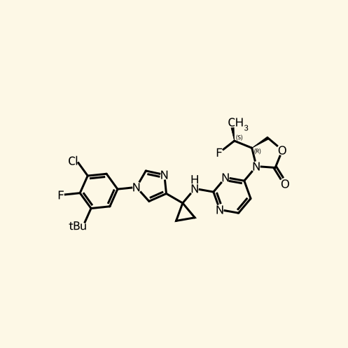 C[C@H](F)[C@H]1COC(=O)N1c1ccnc(NC2(c3cn(-c4cc(Cl)c(F)c(C(C)(C)C)c4)cn3)CC2)n1